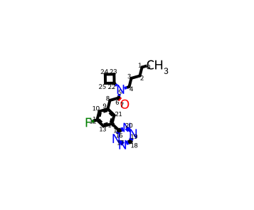 CCCCCN(C(=O)Cc1cc(F)cc(-c2nncnn2)c1)C1CCC1